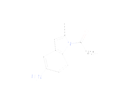 CNC(=O)n1c(C)cc2cc(N)ccc21